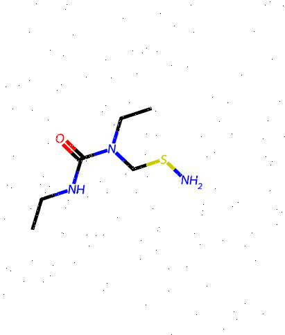 CCNC(=O)N(CC)CSN